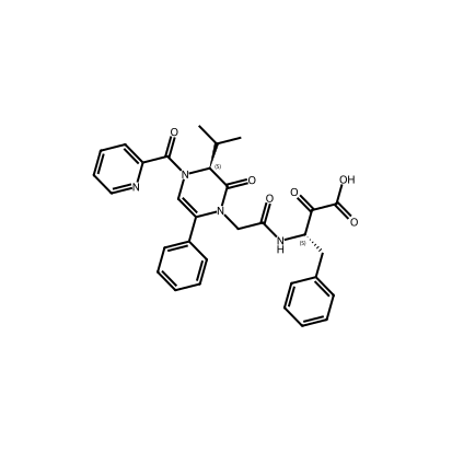 CC(C)[C@H]1C(=O)N(CC(=O)N[C@@H](Cc2ccccc2)C(=O)C(=O)O)C(c2ccccc2)=CN1C(=O)c1ccccn1